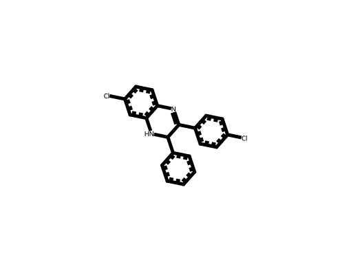 Clc1ccc(C2=Nc3ccc(Cl)cc3NC2c2ccccc2)cc1